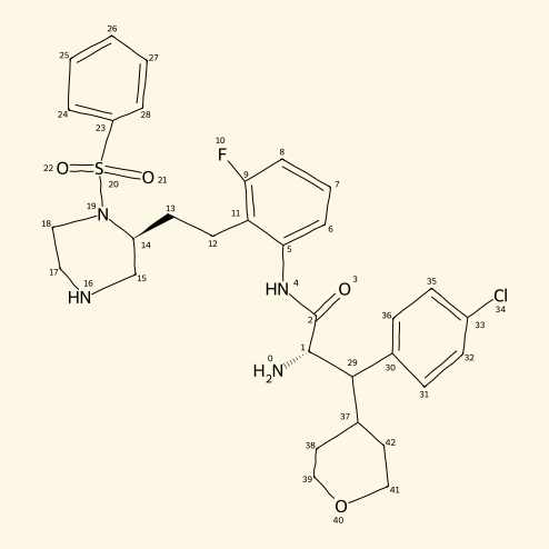 N[C@H](C(=O)Nc1cccc(F)c1CC[C@H]1CNCCN1S(=O)(=O)c1ccccc1)C(c1ccc(Cl)cc1)C1CCOCC1